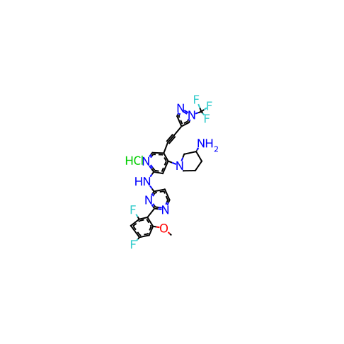 COc1cc(F)cc(F)c1-c1nccc(Nc2cc(N3CCC[C@H](N)C3)c(C#Cc3cnn(C(F)(F)F)c3)cn2)n1.Cl